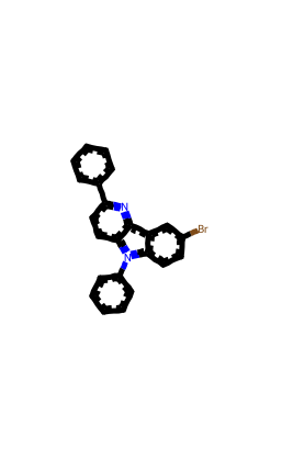 Brc1ccc2c(c1)c1nc(-c3ccccc3)ccc1n2-c1ccccc1